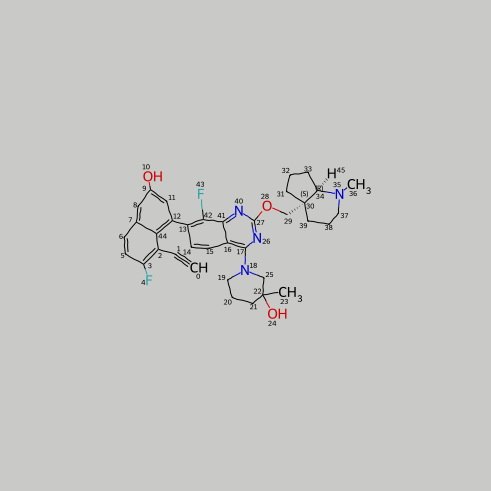 C#Cc1c(F)ccc2cc(O)cc(-c3ccc4c(N5CCCC(C)(O)C5)nc(OC[C@]56CCC[C@H]5N(C)CCC6)nc4c3F)c12